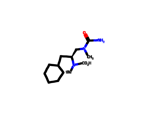 CN(C[C@H](CC1CCCCC1)N(C(=O)O)C(C)(C)C)C(N)=O